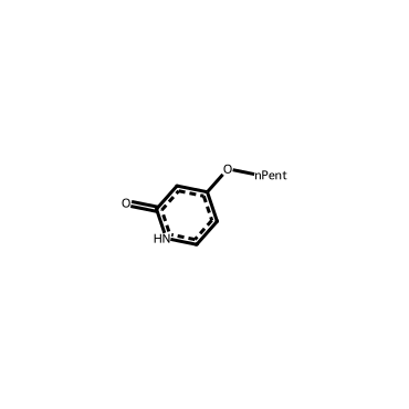 CCCCCOc1cc[nH]c(=O)c1